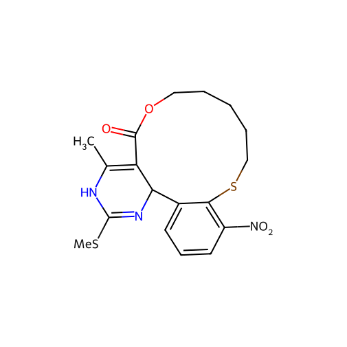 CSC1=NC2C(=C(C)N1)C(=O)OCCCCCSc1c2cccc1[N+](=O)[O-]